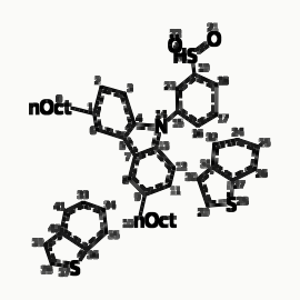 CCCCCCCCc1ccc2c(c1)c1cc(CCCCCCCC)ccc1n2-c1cccc([SH](=O)=O)c1.c1ccc2sccc2c1.c1ccc2sccc2c1